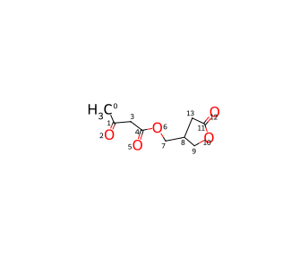 CC(=O)CC(=O)OCC1COC(=O)C1